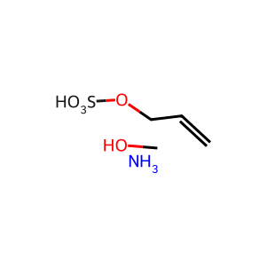 C=CCOS(=O)(=O)O.CO.N